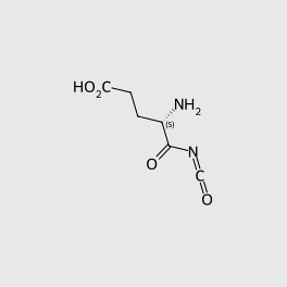 N[C@@H](CCC(=O)O)C(=O)N=C=O